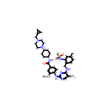 COc1cc(C(=O)N[C@H]2CC[C@H](N3CCN(CC4CC4)CC3)CC2)ccc1Nc1ncc(C(F)(F)F)c(NCc2ccc(C)cc2NS(C)(=O)=O)n1